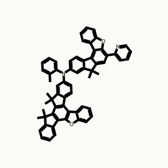 Cc1ccccc1N(c1ccc2c(c1)C(C)(C)c1cc(-c3ccccn3)c3oc4ccccc4c3c1-2)c1ccc2c(c1)C(C)(C)c1c3c(c4oc5ccccc5c4c1-2)-c1ccccc1C3(C)C